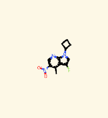 Cc1c([N+](=O)[O-])cnc2c1c(F)cn2C1CCC1